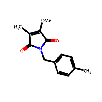 COC1=C(C)C(=O)N(Cc2ccc(C)cc2)C1=O